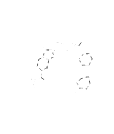 Cc1c(C(=O)NCC(F)(F)F)ccc2nn(CC3CN(C(=O)c4ccc(Oc5ccc(Cl)cc5)cc4)C3)cc12